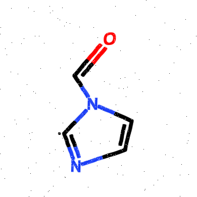 O=Cn1[c]ncc1